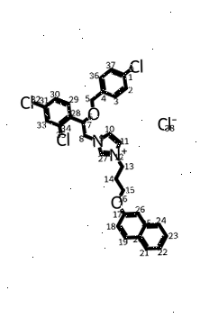 Clc1ccc(COC(Cn2cc[n+](CCCOc3ccc4ccccc4c3)c2)c2ccc(Cl)cc2Cl)cc1.[Cl-]